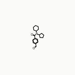 O=Cc1ccc(C(=O)N(C2CCCCC2)C2CCCC2)cc1